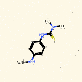 CC(=O)NNc1ccc(NC(=S)N(C)C)cc1